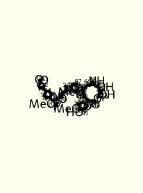 CO[C@H](c1ccc(C2CCS(=O)(=O)C2)cc1)[C@@H](CF)NC(=O)CCN(C)[C@@H]1C[C@H](O[C@@H]2[C@@H](C)C([C@H]3C[C@@](C)(OC)[C@@H](O)[C@H](C)O3)[C@@H](C)C(=O)O[C@H](I)[C@@](C)(O)[C@H](O)[C@@H](C)C(=N)[C@H](C)C[C@@]2(C)OC)O[C@H](C)C1